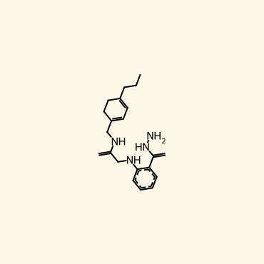 C=C(CNc1ccccc1C(=C)NN)NCC1=CC=C(CCC)CC1